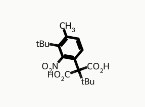 Cc1ccc(C(C(=O)O)(C(=O)O)C(C)(C)C)c([N+](=O)[O-])c1C(C)(C)C